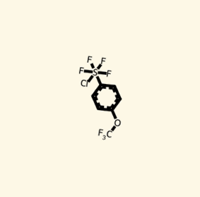 FC(F)(F)Oc1ccc(S(F)(F)(F)(F)Cl)cc1